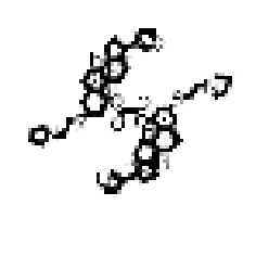 C[C@]12CC[C@@H]3[C@@H](CC=C4CC(SCCN5CCCC5)CC(OC(=O)C(=O)OC5CC(SCCN6CCCC6)CC6=CC[C@@H]7[C@@H](CC[C@]8(C)C(c9ccoc9)CC[C@@H]78)[C@]65C)[C@@]43C)[C@@H]1CCC2c1ccoc1